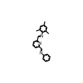 Cc1cc(C)c(N=Cc2cccc(C=Nc3ccccc3)n2)c(C)c1